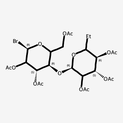 CCC1O[C@H](O[C@@H]2C(COC(C)=O)O[C@H](Br)C(OC(C)=O)[C@H]2OC(C)=O)C(OC(C)=O)[C@@H](OC(C)=O)[C@@H]1OC(C)=O